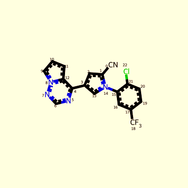 N#Cc1cc(-c2ncnn3cccc23)cn1-c1cc(C(F)(F)F)ccc1Cl